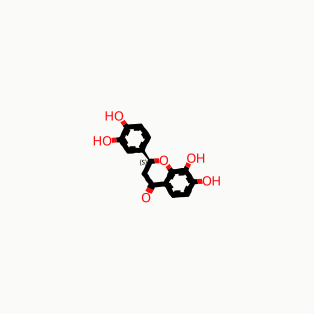 O=C1C[C@@H](c2ccc(O)c(O)c2)Oc2c1ccc(O)c2O